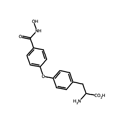 NC(Cc1ccc(Oc2ccc(C(=O)NO)cc2)cc1)C(=O)O